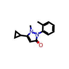 Cc1ccccc1-n1c(=O)cc(C2CC2)n1C